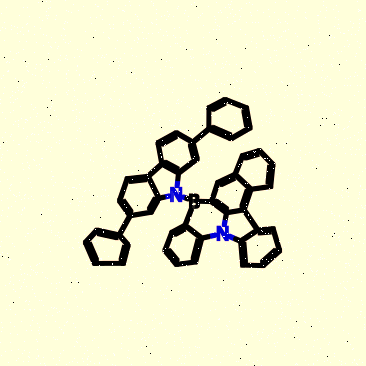 c1ccc(-c2ccc3c4ccc(-c5ccccc5)cc4n(B4c5ccccc5-n5c6ccccc6c6c7ccccc7cc4c65)c3c2)cc1